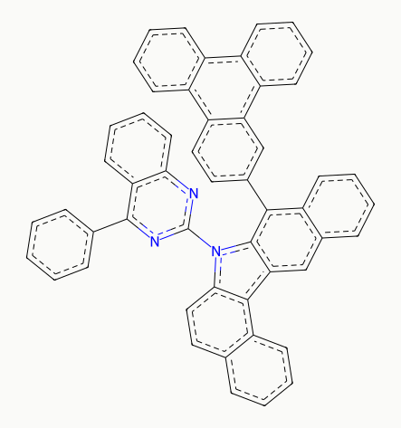 c1ccc(-c2nc(-n3c4ccc5ccccc5c4c4cc5ccccc5c(-c5ccc6c7ccccc7c7ccccc7c6c5)c43)nc3ccccc23)cc1